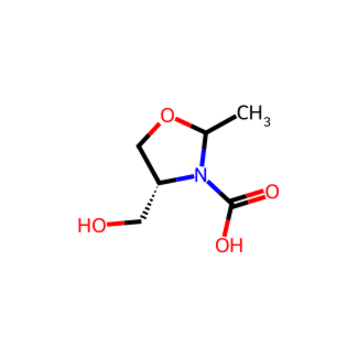 CC1OC[C@@H](CO)N1C(=O)O